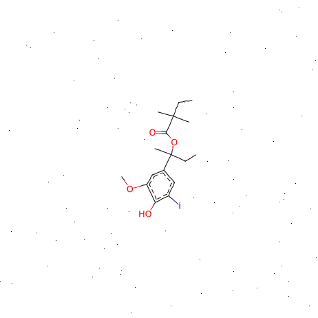 CCC(C)(C)C(=O)OC(C)(CC)c1cc(I)c(O)c(OC)c1